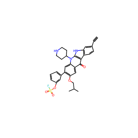 C#Cc1ccc2c(c1)[nH]c1c2c(=O)c2cc(OCC(C)C)c(-c3cccc(OS(=O)(=O)F)c3)cc2n1C1CCNCC1